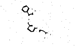 C=C(/C(=N\OCc1cccc(NC(=O)CC(OC)OC)n1)c1ccccc1)N(C)N